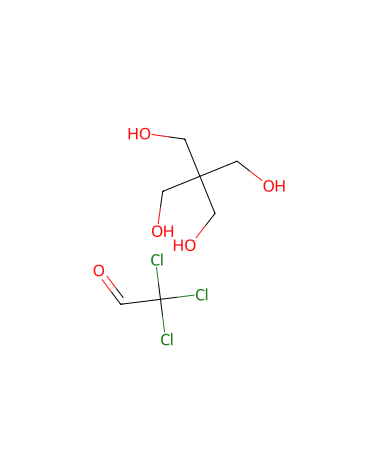 O=CC(Cl)(Cl)Cl.OCC(CO)(CO)CO